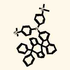 C[Si](C)(C)c1ccc(N(c2ccc([Si](C)(C)C)cc2)c2ccc3c(c2)C2(c4ccccc4-3)c3ccccc3C(c3ccccc3)(c3ccccc3)c3ccccc32)cc1